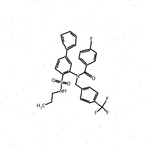 CCCNS(=O)(=O)c1ccc(-c2ccccc2)cc1N(Cc1ccc(C(F)(F)F)cc1)C(=O)c1ccc(F)cc1